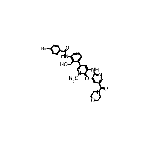 Cn1cc(-c2cccc(NC(=O)c3ccc(Br)cc3)c2CO)cc(Nc2ccc(C(=O)N3CCOCC3)cn2)c1=O